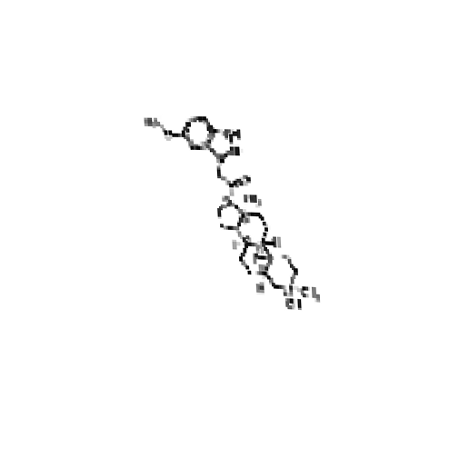 COc1ccc2c(c1)N(CC(=O)[C@H]1CCC3[C@@H]4CC[C@@H]5C[C@](C)(O)CCC5(F)[C@H]4CC[C@@]31C)NN2